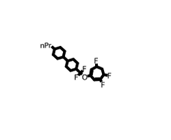 CCCC1CCC(C2CCC(C(F)(F)OC3=CC(F)CC(F)C(F)=C3)CC2)CC1